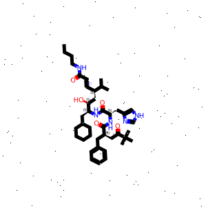 CCCCNC(=O)/C=C/[C@@H](C[C@H](O)[C@H](CC1CCCCC1)NC(=O)[C@H](Cc1c[nH]cn1)NC(=O)[C@@H](CC(=O)C(C)(C)C)Cc1ccccc1)C(C)C